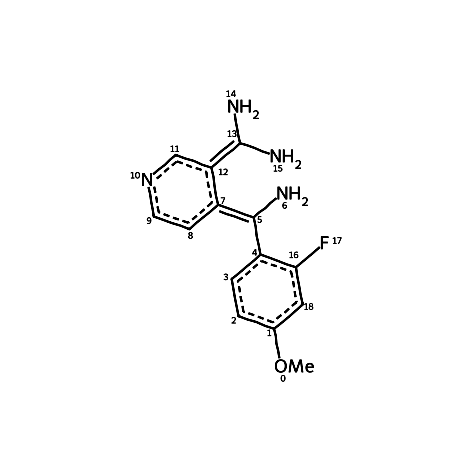 COc1ccc(/C(N)=c2\ccncc2=C(N)N)c(F)c1